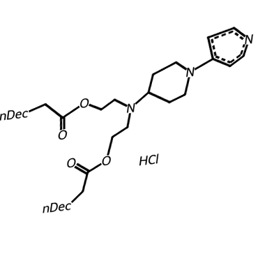 CCCCCCCCCCCC(=O)OCCN(CCOC(=O)CCCCCCCCCCC)C1CCN(c2ccncc2)CC1.Cl